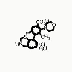 Cc1c(-c2cccc3c2SCNC3)c(F)cc(C(=O)O)c1N1CCOCC1.Cl.Cl